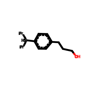 CC(C)[SiH](c1ccc(CCCO)cc1)C(C)C